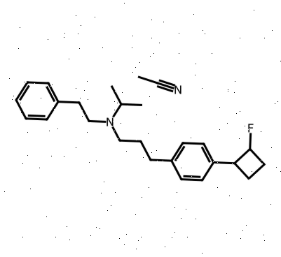 CC#N.CC(C)N(CCCc1ccc(C2CCC2F)cc1)CCc1ccccc1